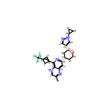 Cc1cnc2c(C34CC(C(F)(F)F)(C3)C4)nc([C@H]3CCO[C@@H](c4cnn(C5CC5)c4)C3)cc2n1